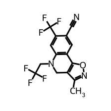 Cc1noc2c1CN(CC(F)(F)F)c1cc(C(F)(F)F)c(C#N)cc1-2